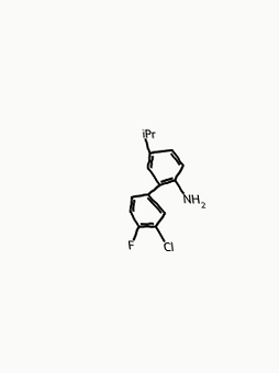 CC(C)c1ccc(N)c(-c2ccc(F)c(Cl)c2)c1